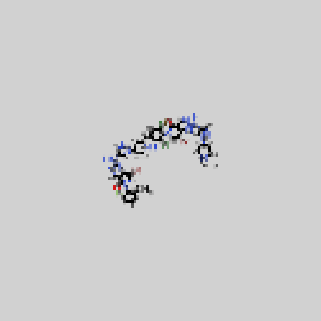 Cc1cccc(F)c1-n1cc(Br)c2nc(Nc3cnn(C4CCNC(Cc5cc(Cl)c(-n6cc(Br)c7nc(Nc8cnn(C9CCN(C)CC9)c8)ncc7c6=O)c(Cl)c5)C4)c3)ncc2c1=O